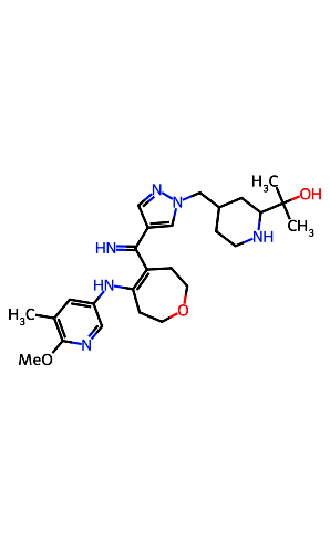 COc1ncc(NC2=C(C(=N)c3cnn(CC4CCNC(C(C)(C)O)C4)c3)CCOCC2)cc1C